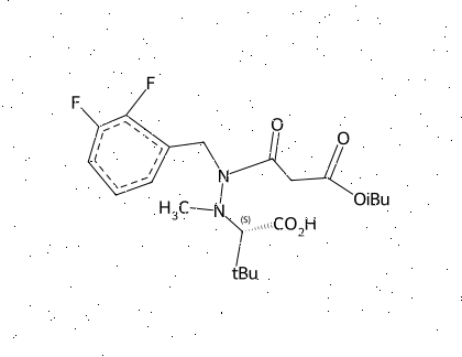 CC(C)COC(=O)CC(=O)N(Cc1cccc(F)c1F)N(C)[C@H](C(=O)O)C(C)(C)C